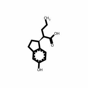 CCCC(C(=O)O)[C@@H]1CCc2cc(O)ccc21